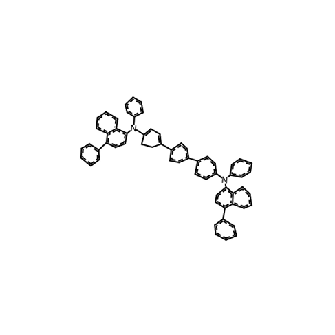 C1=C(c2ccc(-c3ccc(N(c4ccccc4)c4ccc(-c5ccccc5)c5ccccc45)cc3)cc2)CCC(N(c2ccccc2)c2ccc(-c3ccccc3)c3ccccc23)=C1